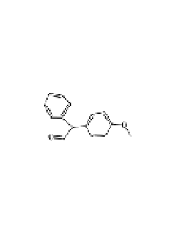 COc1ccc(C([C]=O)c2ccccc2)cc1